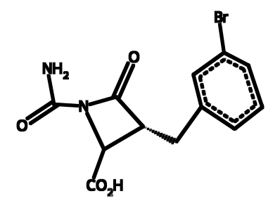 NC(=O)N1C(=O)[C@H](Cc2cccc(Br)c2)C1C(=O)O